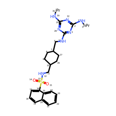 CCCNc1nc(NCC2CCC(CNS(=O)(=O)c3cccc4ccccc34)CC2)nc(NC(C)C)n1